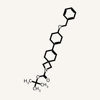 CC(C)(C)OC(=O)N1CC2(CC=C(C3=CCC(OCc4ccccc4)CC3)CC2)C1